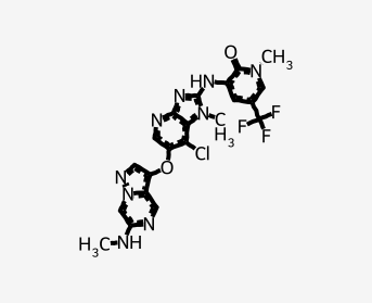 CNc1cn2ncc(Oc3cnc4nc(Nc5cc(C(F)(F)F)cn(C)c5=O)n(C)c4c3Cl)c2cn1